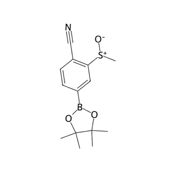 C[S+]([O-])c1cc(B2OC(C)(C)C(C)(C)O2)ccc1C#N